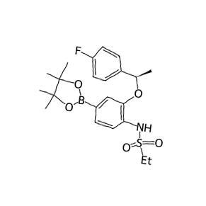 CCS(=O)(=O)Nc1ccc(B2OC(C)(C)C(C)(C)O2)cc1O[C@H](C)c1ccc(F)cc1